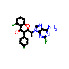 CC(c1oc2cccc(F)c2c(=O)c1-c1ccc(F)cc1)n1cnc2c(N)nc(F)nc21